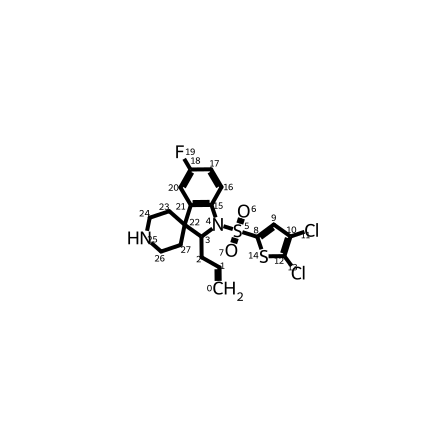 C=CCC1N(S(=O)(=O)c2cc(Cl)c(Cl)s2)c2ccc(F)cc2C12CCNCC2